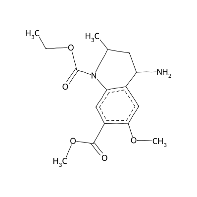 CCOC(=O)N1c2cc(C(=O)OC)c(OC)cc2C(N)CC1C